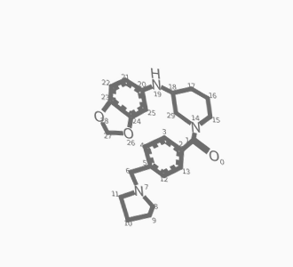 O=C(c1ccc(CN2CCCC2)cc1)N1CCCC(Nc2ccc3c(c2)OCO3)C1